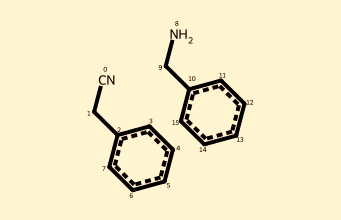 N#CCc1ccccc1.NCc1ccccc1